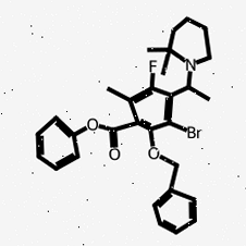 Cc1c(F)c(C(C)N2CCCCC2(C)C)c(Br)c(OCc2ccccc2)c1C(=O)Oc1ccccc1